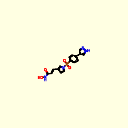 O=C(/C=C/c1ccn(S(=O)(=O)c2ccc(-c3cn[nH]c3)cc2)c1)NO